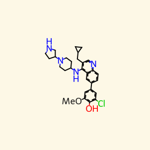 COc1cc(-c2ccc3ncc(CC4CC4)c(NC4CCN(C5CCNC5)CC4)c3c2)cc(Cl)c1O